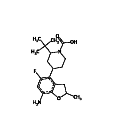 CC1Cc2c(c(N)cc(F)c2C2CCN(C(=O)O)C(C(C)(C)C)C2)O1